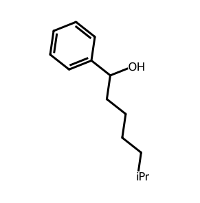 CC(C)CCCCC(O)c1ccccc1